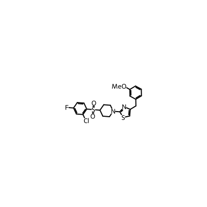 COc1cccc(Cc2csc(N3CCC(S(=O)(=O)c4ccc(F)cc4Cl)CC3)n2)c1